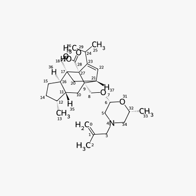 C=C(C)CN1C[C@H](OC[C@@]23C[C@@H]4[C@H](C)CC[C@H]4[C@]4(C=O)C[C@@H]2C=C(C(C)C)[C@@]34C(=O)O)O[C@H](C)C1